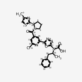 Cc1csc([C@H]2CCCN2C(=O)c2cc(Cl)nc(-c3nnc(N(C(=O)O)C(C)Cc4ccccc4)o3)c2)n1